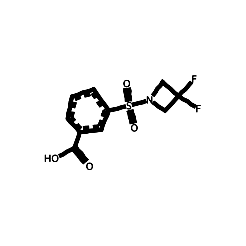 O=C(O)c1cccc(S(=O)(=O)N2CC(F)(F)C2)c1